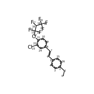 CCc1ccc(/C=C/c2ccc(OC(F)(F)C(F)C(F)(F)F)c(Cl)c2)cc1